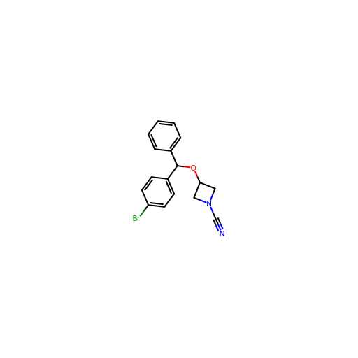 N#CN1CC(OC(c2ccccc2)c2ccc(Br)cc2)C1